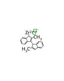 CC1=Cc2ccccc2C1C1=C(C)[CH]([Zr+2])c2ccccc21.[Cl-].[Cl-]